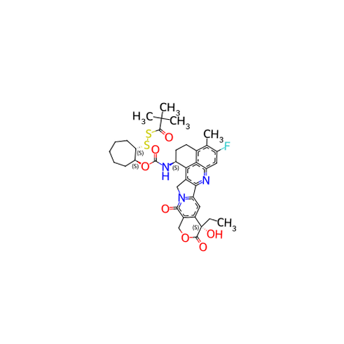 CC[C@@]1(O)C(=O)OCc2c1cc1n(c2=O)Cc2c-1nc1cc(F)c(C)c3c1c2[C@@H](NC(=O)O[C@H]1CCCCC[C@@H]1SSC(=O)C(C)(C)C)CC3